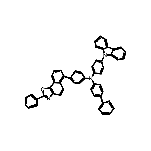 c1ccc(-c2ccc(N(c3ccc(-c4cccc5c4ccc4nc(-c6ccccc6)oc45)cc3)c3ccc(-n4c5ccccc5c5ccccc54)cc3)cc2)cc1